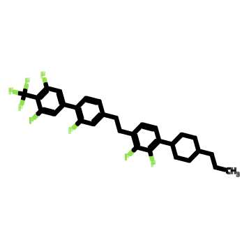 CCCC1CCC(c2ccc(CCc3ccc(-c4cc(F)c(C(F)(F)F)c(F)c4)c(F)c3)c(F)c2F)CC1